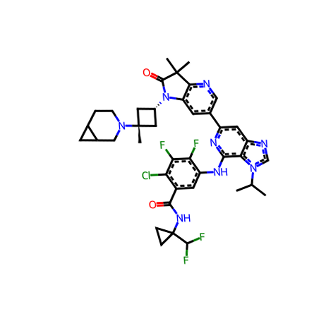 CC(C)n1cnc2cc(-c3cnc4c(c3)N([C@H]3C[C@@](C)(N5CCC6CC6C5)C3)C(=O)C4(C)C)nc(Nc3cc(C(=O)NC4(C(F)F)CC4)c(Cl)c(F)c3F)c21